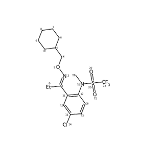 CC/C(=N\OCC1CCCCC1)c1cc(Cl)ccc1N(C)S(=O)(=O)C(F)(F)F